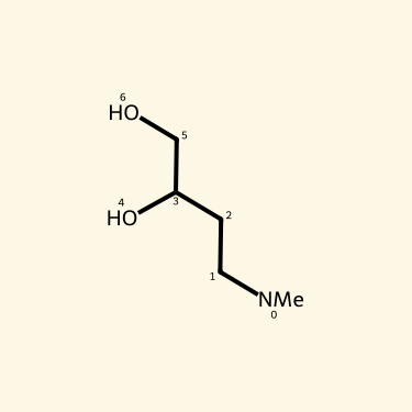 CNCCC(O)CO